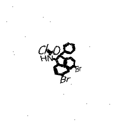 ClC1NC(c2ccc(Br)cc2)C(c2ccccc2)(c2ccc(Br)cc2)O1